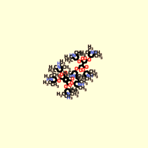 CC1(C)CC(OC(=O)CC(C(=O)OC2CC(C)(C)NC(C)(C)C2)C(CC(=O)OC2CC(C)(C)NC(C)(CCC3(C)CC(OC(=O)c4cc(C(=O)OC5CC(C)(C)NC(C)(C)C5)c(C(=O)OC5CC(C)(C)NC(C)(C)C5)cc4C(=O)OC4CC(C)(C)NC(C)(C)C4)CC(C)(C)N3)C2)C(=O)OC2CC(C)(C)NC(C)(C)C2)CC(C)(C)N1